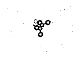 COc1ccc2c(c1)C1(C=C(c3ccccc3)c3ccc(C)cc31)C=C2c1ccccc1